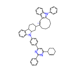 C1=CC(c2cc(-c3ccc(N4c5ccccc5C5CCC(/C6=C/c7c(n(-c8ccccc8)c8ccccc78)CCCCC6)CC54)cc3)nc(-c3ccccc3)n2)CCC1